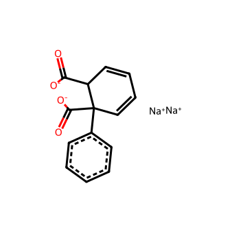 O=C([O-])C1C=CC=CC1(C(=O)[O-])c1ccccc1.[Na+].[Na+]